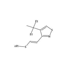 CCCSC=Cc1nscc1C(C)(CC)CC